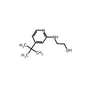 CC(C)(C)c1ccnc(NCCO)c1